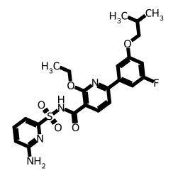 CCOc1nc(-c2cc(F)cc(OCC(C)C)c2)ccc1C(=O)NS(=O)(=O)c1cccc(N)n1